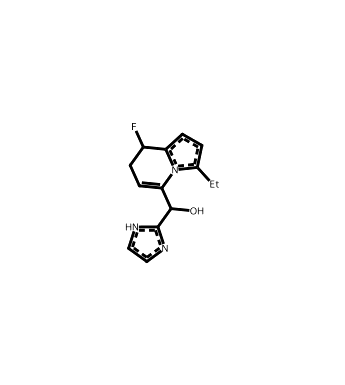 CCc1ccc2n1C(C(O)c1ncc[nH]1)=CCC2F